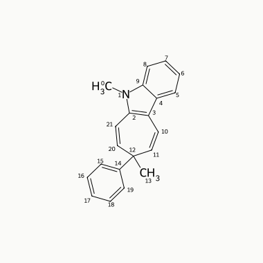 Cn1c2c(c3ccccc31)C=CC(C)(c1ccccc1)C=C2